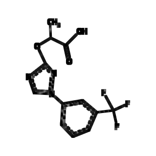 CC(Oc1ncn(-c2cccc(C(F)(F)F)c2)n1)C(=O)O